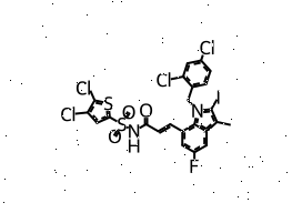 Cc1c(I)n(Cc2ccc(Cl)cc2Cl)c2c(C=CC(=O)NS(=O)(=O)c3cc(Cl)c(Cl)s3)cc(F)cc12